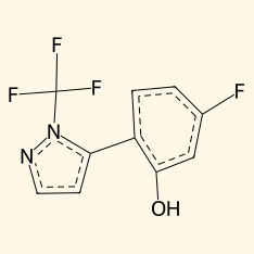 Oc1cc(F)ccc1-c1ccnn1C(F)(F)F